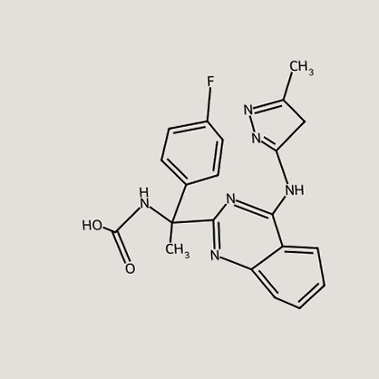 CC1=NN=C(Nc2nc(C(C)(NC(=O)O)c3ccc(F)cc3)nc3ccccc23)C1